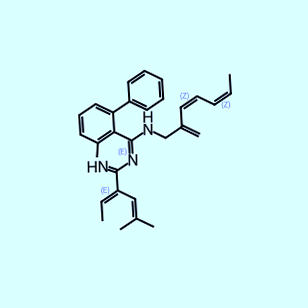 C=C(/C=C\C=C/C)CN/C(=N/C(=N)/C(C=C(C)C)=C/C)c1c(C)cccc1-c1ccccc1